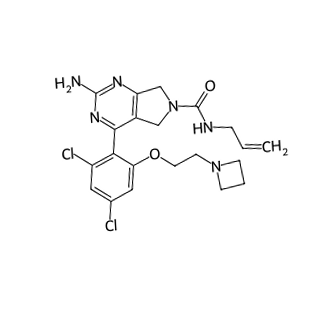 C=CCNC(=O)N1Cc2nc(N)nc(-c3c(Cl)cc(Cl)cc3OCCN3CCC3)c2C1